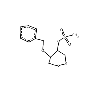 CS(=O)(=O)OC1CSSCC1OCc1ccccc1